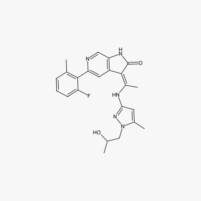 CC(Nc1cc(C)n(CC(C)O)n1)=C1C(=O)Nc2cnc(-c3c(C)cccc3F)cc21